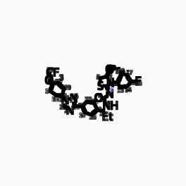 CCC(NC(=O)/N=C1\SCC(=O)N1c1ccc(F)cc1C(C)C)c1ccc(-c2ncn(-c3ccc(OC(F)(F)F)cc3)n2)cc1